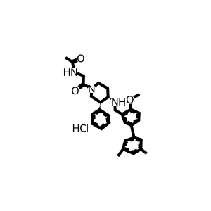 COc1ccc(-c2cc(C)cc(C)c2)cc1CN[C@H]1CCN(C(=O)CNC(C)=O)C[C@H]1c1ccccc1.Cl